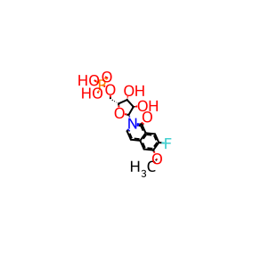 COc1cc2ccn([C@@H]3O[C@H](COP(=O)(O)O)[C@H](O)[C@H]3O)c(=O)c2cc1F